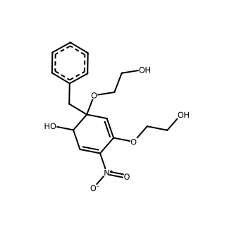 O=[N+]([O-])C1=CC(O)C(Cc2ccccc2)(OCCO)C=C1OCCO